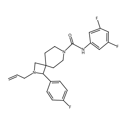 C=CCN1CC2(CCN(C(=O)Nc3cc(F)cc(F)c3)CC2)C1c1ccc(F)cc1